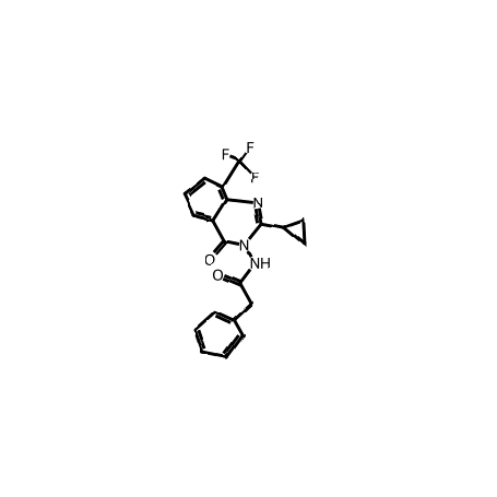 O=C(Cc1ccccc1)Nn1c(C2CC2)nc2c(C(F)(F)F)cccc2c1=O